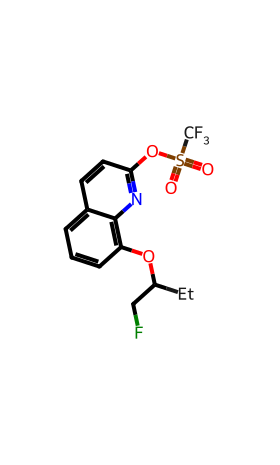 CCC(CF)Oc1cccc2ccc(OS(=O)(=O)C(F)(F)F)nc12